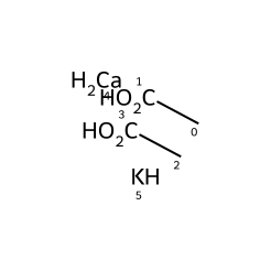 CC(=O)O.CC(=O)O.[CaH2].[KH]